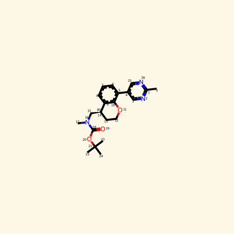 Cc1ncc(-c2cccc3c2OCC[C@H]3CN(C)C(=O)OC(C)(C)C)cn1